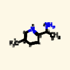 CC(N)c1ccc(C(F)(F)F)cn1